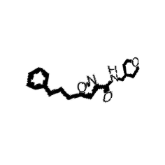 O=C(NCC1CCOCC1)c1cc(CCCc2ccccc2)on1